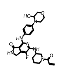 C=CC(=O)N1CCCC(Nc2nc(Nc3ccc(N4CCOCC4O)cc3)c3c(c2F)CNC3=O)C1